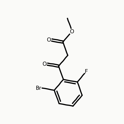 COC(=O)CC(=O)c1c(F)cccc1Br